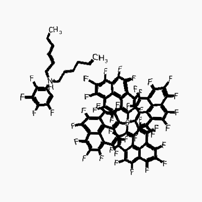 CCCCCC[NH+](CCCCCC)c1cc(F)c(F)c(F)c1F.Fc1c(F)c2c(F)c(F)c3c(F)c(F)c([B-](c4c(F)c(F)c5c(F)c(F)c6c(F)c(F)c(F)c7c(F)c(F)c4c5c67)(c4c(F)c(F)c5c(F)c(F)c6c(F)c(F)c(F)c7c(F)c(F)c4c5c67)c4c(F)c(F)c5c(F)c(F)c6c(F)c(F)c(F)c7c(F)c(F)c4c5c67)c4c(F)c(F)c(c1F)c2c34